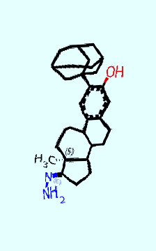 C[C@]12CCC3c4cc(C56CC7CC(CC(C7)C5)C6)c(O)cc4CCC3C1CC/C2=N\N